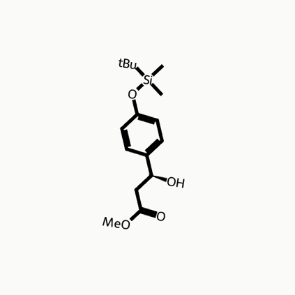 COC(=O)C[C@H](O)c1ccc(O[Si](C)(C)C(C)(C)C)cc1